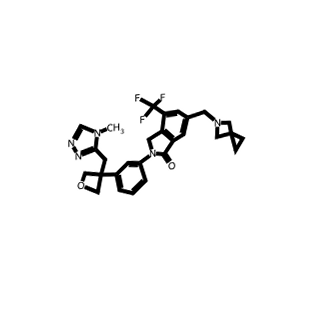 Cn1cnnc1CC1(c2cccc(N3Cc4c(cc(CN5CC6(CC6)C5)cc4C(F)(F)F)C3=O)c2)COC1